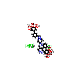 COc1cc(-c2cccc(CN3CCC(N(Cc4ccnc(-c5cc(OC)c(OC)c(OC)c5)c4)c4ccc(Cl)cc4)CC3)c2)cc(OC)c1OC.Cl.Cl